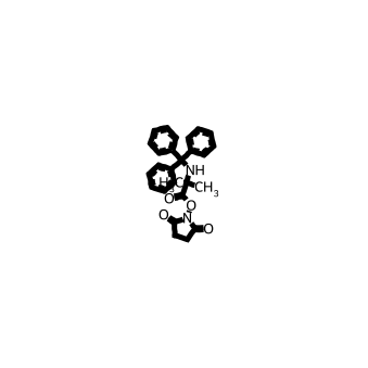 CC(C)(NC(c1ccccc1)(c1ccccc1)c1ccccc1)C(=O)ON1C(=O)CCC1=O